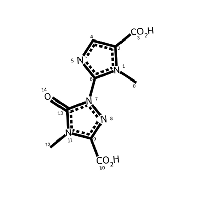 Cn1c(C(=O)O)cnc1-n1nc(C(=O)O)n(C)c1=O